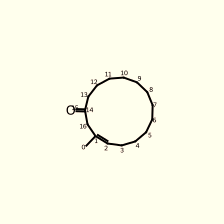 CC1=CCCCCCCCCCCCC(=O)C1